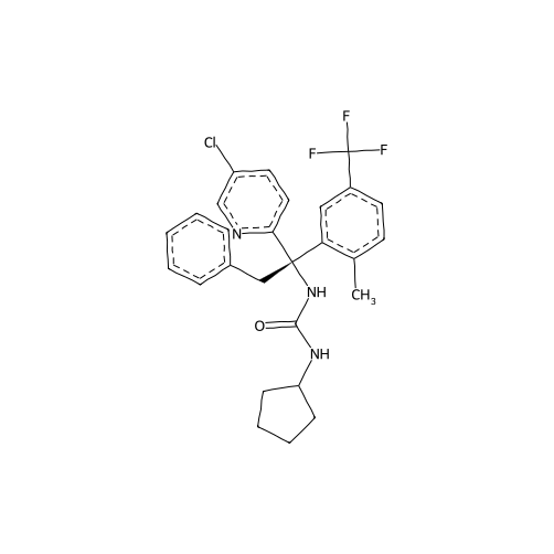 Cc1ccc(C(F)(F)F)cc1[C@](Cc1ccccc1)(NC(=O)NC1CCCC1)c1ccc(Cl)cn1